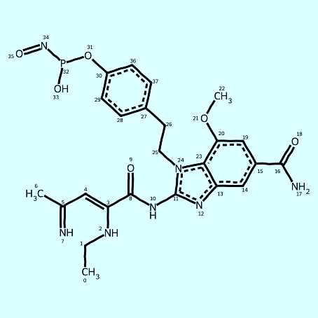 CCN/C(=C\C(C)=N)C(=O)Nc1nc2cc(C(N)=O)cc(OC)c2n1CCc1ccc(OP(O)N=O)cc1